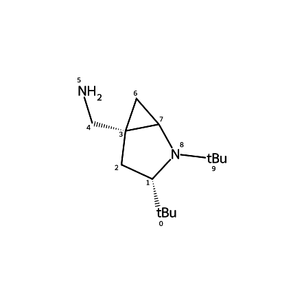 CC(C)(C)[C@@H]1C[C@@]2(CN)CC2N1C(C)(C)C